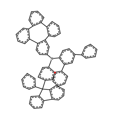 c1ccc(-c2ccc(N(c3ccc(C4(c5ccccc5)c5ccccc5-c5ccccc54)cc3)c3ccc4c(c3)-c3ccccc3-c3ccccc3-c3ccccc3-4)c(-c3ccccc3)c2)cc1